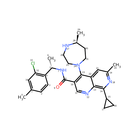 Cc1ccc([C@H](C)NC(=O)c2cnc3c(C4CC4)nc(C)cc3c2N2CCN[C@@H](C)CC2)c(Cl)c1